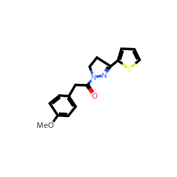 COc1ccc(CC(=O)N2CCC(c3cccs3)=N2)cc1